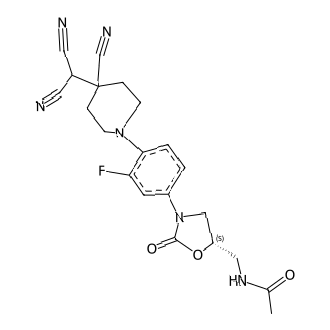 CC(=O)NC[C@H]1CN(c2ccc(N3CCC(C#N)(C(C#N)C#N)CC3)c(F)c2)C(=O)O1